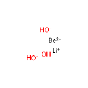 [Be+2].[Li+].[OH-].[OH-].[OH-]